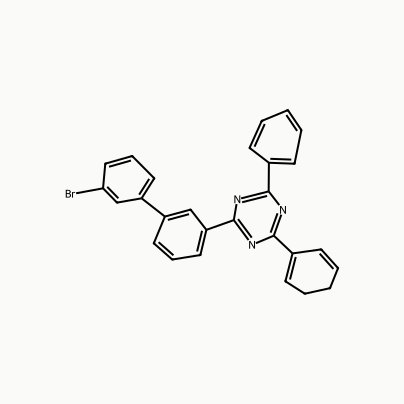 Brc1cccc(-c2cccc(-c3nc(C4=CCCC=C4)nc(-c4ccccc4)n3)c2)c1